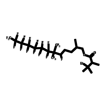 CCC(C)(C)C(C)C(=O)OCC(C)CCC(F)C(C(F)(F)F)(C(F)(F)F)C(F)(F)C(F)(F)C(F)(F)C(F)(F)C(F)(F)C(F)(F)C(F)(F)F